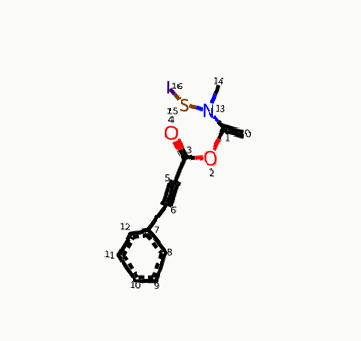 C=C(OC(=O)C#Cc1ccccc1)N(C)SI